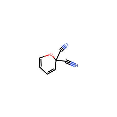 N#CC1(C#N)C=CC=CO1